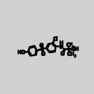 C[C@@](O)(C(=O)Nc1ccc(S(=O)(=O)c2ccc(O)cc2)cc1Cl)C(F)(F)F